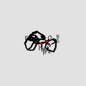 NC(=O)C12CC3CC(C1)C(NC(=O)N1[C@@H]4CC[C@H]1C[C@@H](c1cccc(F)c1)C4)C(C3)C2